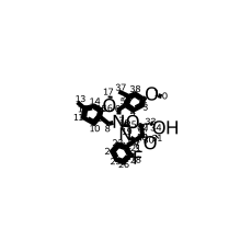 COc1ccc(CN(Cc2ccc(C)cc2OC)C2=N[C@](C)(c3ccccc3F)[C@@H](OC)[C@@H](CO)O2)c(C)c1